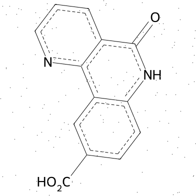 O=C(O)c1ccc2[nH]c(=O)c3cccnc3c2c1